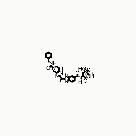 CC(c1nc2c([nH]1)CCN(C(=O)NCc1ccccc1)C2)c1nc2ccc(C(=O)NC(CP(=O)(O)O)C(=O)O)cc2n1C